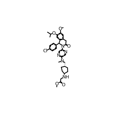 COC(=O)CN[C@H]1CC[C@H](CN(C)c2cnc(N3C(=O)Cc4cc(OC)c(OC(C)C)cc4C3c3ccc(Cl)cc3)cn2)CC1